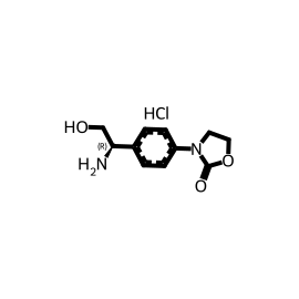 Cl.N[C@@H](CO)c1ccc(N2CCOC2=O)cc1